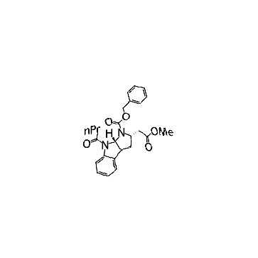 CCCC(=O)N1c2ccccc2C2C[C@@H](CC(=O)OC)N(C(=O)OCc3ccccc3)[C@H]21